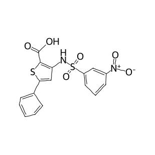 O=C(O)c1sc(-c2ccccc2)cc1NS(=O)(=O)c1cccc([N+](=O)[O-])c1